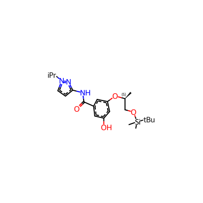 CC(C)n1ccc(NC(=O)c2cc(O)cc(O[C@@H](C)CO[Si](C)(C)C(C)(C)C)c2)n1